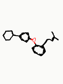 CC(C)=CCc1ccccc1Oc1c[c]c(C2CCCCC2)cc1